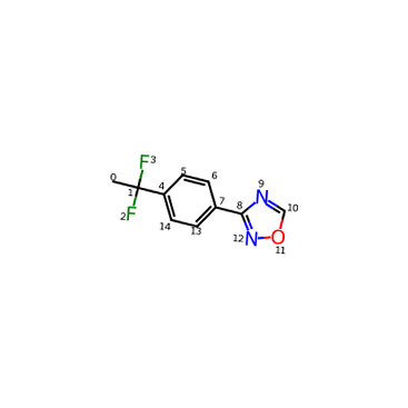 CC(F)(F)c1ccc(-c2ncon2)cc1